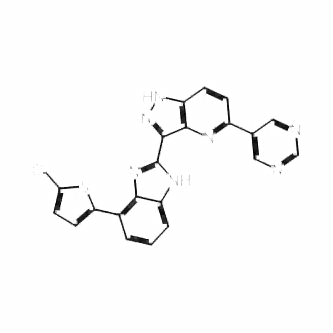 Clc1ccc(-c2cccc3[nH]c(-c4n[nH]c5ccc(-c6cncnc6)nc45)nc23)s1